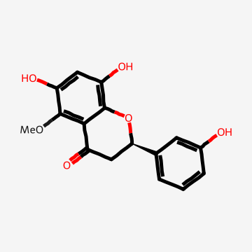 COc1c(O)cc(O)c2c1C(=O)C[C@H](c1cccc(O)c1)O2